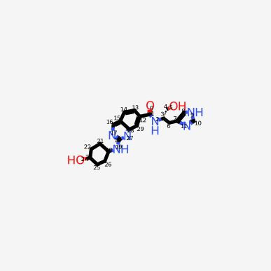 O=C(N[C@H](CO)Cc1c[nH]cn1)c1ccc2cnc(NC3CCC(O)CC3)nc2c1